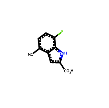 N#Cc1ccc(F)c2[nH]c(C(=O)O)cc12